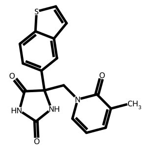 Cc1cccn(CC2(c3ccc4sccc4c3)NC(=O)NC2=O)c1=O